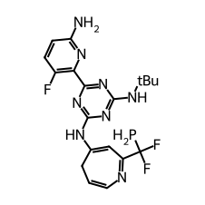 CC(C)(C)Nc1nc(NC2=CC(C(F)(F)P)=NC=CC2)nc(-c2nc(N)ccc2F)n1